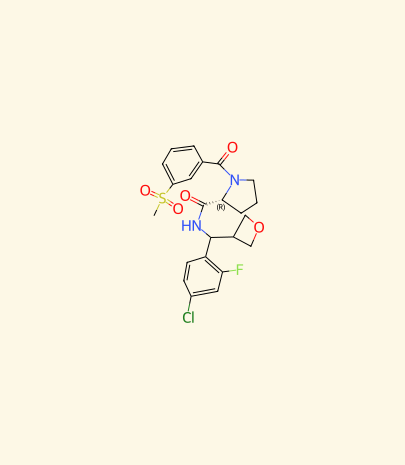 CS(=O)(=O)c1cccc(C(=O)N2CCC[C@@H]2C(=O)NC(c2ccc(Cl)cc2F)C2COC2)c1